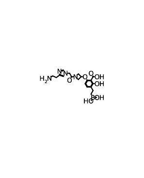 NCCc1cn(CC(=O)N2CC(Oc3ccc(CCB(O)O)c(O)c3C(=O)O)C2)cn1